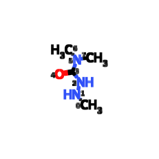 CNNC(=O)N(C)C